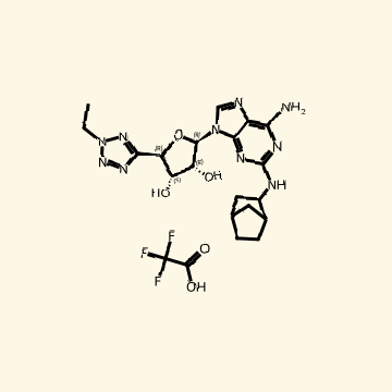 CCn1nnc([C@H]2O[C@@H](n3cnc4c(N)nc(NC5CC6CCC5C6)nc43)[C@H](O)[C@@H]2O)n1.O=C(O)C(F)(F)F